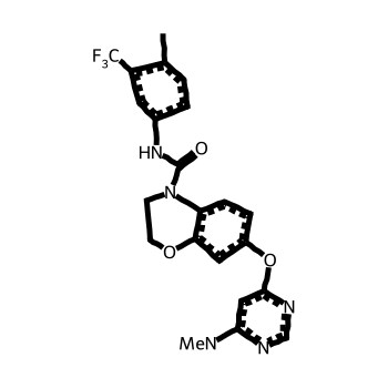 CNc1cc(Oc2ccc3c(c2)OCCN3C(=O)Nc2ccc(C)c(C(F)(F)F)c2)ncn1